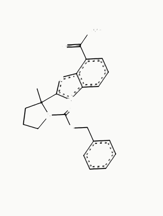 COC(=O)c1cccc2nc(C3(C)CCCN3C(=O)OCc3ccccc3)oc12